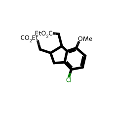 CCOC(=O)CC1Cc2c(Cl)ccc(OC)c2C1CC(=O)OCC